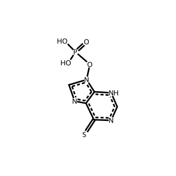 O=P(O)(O)On1cnc2c(=S)nc[nH]c21